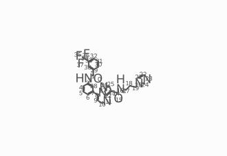 O=C(Nc1cccc(-c2ccnc3c(C(=O)NCCCn4ccnc4)cnn23)c1)c1cccc(C(F)(F)F)c1